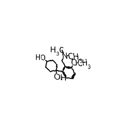 COc1cccc(C2(O)CCC(O)CC2)c1CN(C)C